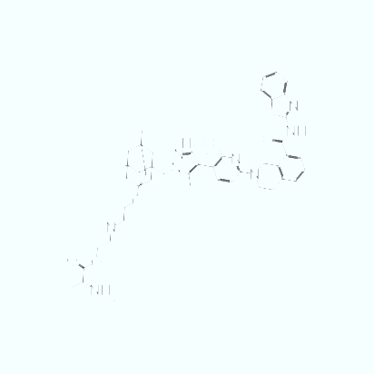 Cc1c(-c2ccc(N3CCc4cccc(C(=O)Nc5nc6ccccc6s5)c4C3)nc2C(=O)O)cnn1CC12CC3(C)CC(C)(C1)CC(OCCNCCOC(=O)C(C)N)(C3)C2